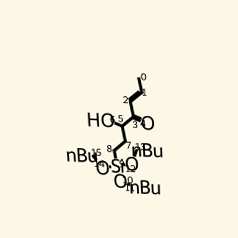 CC=CC(=O)C(O)CC[Si](OCCCC)(OCCCC)OCCCC